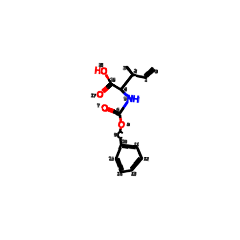 C=CC(C)C(NC(=O)OCc1ccccc1)C(=O)O